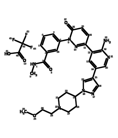 CNC(=O)c1cccc(-n2nc(-c3cc(-c4cnn(C5CCN(CCOC)CC5)c4)cnc3N)ccc2=O)c1.O=C(O)C(F)(F)F